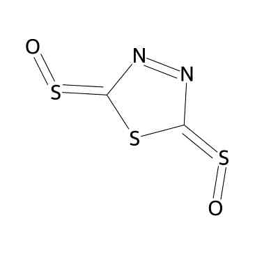 O=S=C1N=NC(=S=O)S1